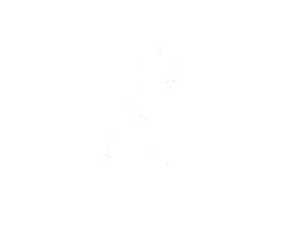 O=C1NCC2CN(c3c[nH]c4ccccc34)CCN12